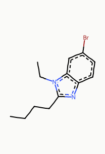 CCCCc1nc2ccc(Br)cc2n1CC